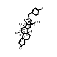 C[C@]12C=CC(=O)C=C1CC[C@@H]1[C@@H]2[C@@H](O)C[C@@]2(C)[C@H]1C[C@H]1CN(Cc3ccc(F)cc3)O[C@]12C(=O)CO